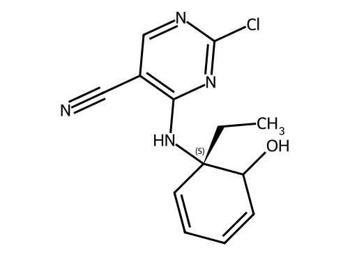 CC[C@]1(Nc2nc(Cl)ncc2C#N)C=CC=CC1O